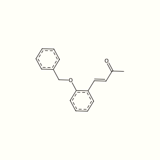 CC(=O)C=Cc1ccccc1OCc1ccccc1